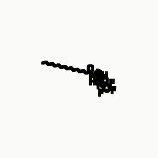 CCCCCCCCCCCCCCCC(=O)NC12CC(C1)[C@@H](C(=O)Oc1c(F)c(F)cc(F)c1F)C2